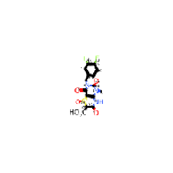 Cn1c2c(c(=O)n(Cc3ccc(F)c(F)c3)c1=O)[S+]([O-])C(C(=O)O)C(=O)N2